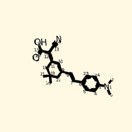 CN(C)c1ccc(/C=C/C2=CC(=C(C#N)C(=O)O)CC(C)(C)C2)cc1